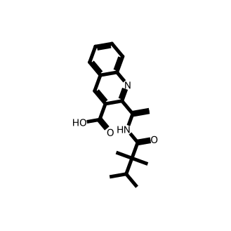 C=C(NC(=O)C(C)(C)C(C)C)c1nc2ccccc2cc1C(=O)O